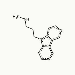 CNCCCn1c2ccccc2c2cnccc21